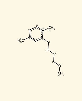 COCCOCc1cc(C)ccc1C